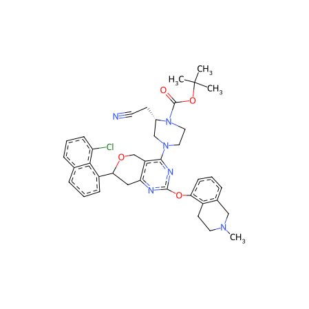 CN1CCc2c(cccc2Oc2nc3c(c(N4CCN(C(=O)OC(C)(C)C)[C@@H](CC#N)C4)n2)COC(c2cccc4cccc(Cl)c24)C3)C1